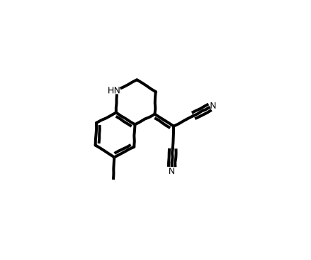 Cc1ccc2c(c1)C(=C(C#N)C#N)CCN2